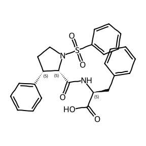 O=C(O)[C@H](Cc1ccccc1)NC(=O)[C@@H]1[C@H](c2ccccc2)CCN1S(=O)(=O)c1ccccc1